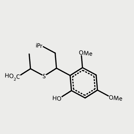 COc1cc(O)c(C(CC(C)C)SC(C)C(=O)O)c(OC)c1